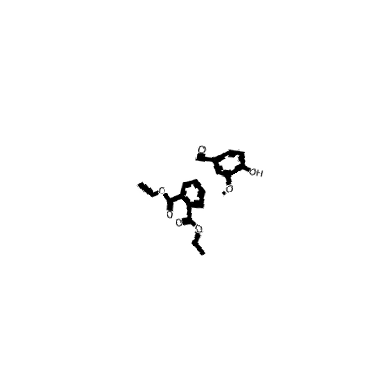 CCOC(=O)c1ccccc1C(=O)OCC.COc1cc(C=O)ccc1O